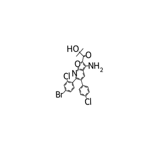 CC(C)(O)C(=O)c1oc2nc(-c3ccc(Br)cc3Cl)c(-c3ccc(Cl)cc3)cc2c1N